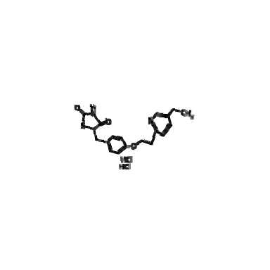 CCc1ccc(CCOc2ccc(CC3SC(=O)NC3=O)cc2)nc1.Cl.Cl